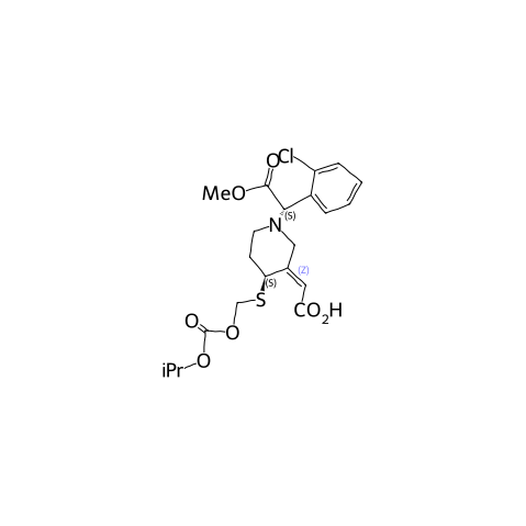 COC(=O)[C@H](c1ccccc1Cl)N1CC[C@H](SCOC(=O)OC(C)C)/C(=C\C(=O)O)C1